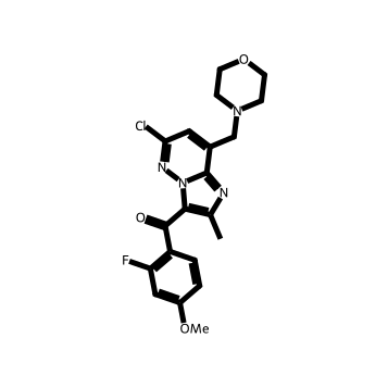 COc1ccc(C(=O)c2c(C)nc3c(CN4CCOCC4)cc(Cl)nn23)c(F)c1